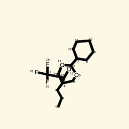 CCCC12COC(C3CCCCC3)(OC1)OC2C(F)(F)F